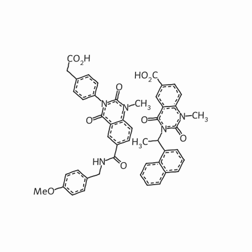 CC(c1cccc2ccccc12)n1c(=O)c2cc(C(=O)O)ccc2n(C)c1=O.COc1ccc(CNC(=O)c2ccc3c(c2)c(=O)n(-c2ccc(CC(=O)O)cc2)c(=O)n3C)cc1